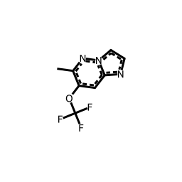 Cc1nn2ccnc2cc1OC(F)(F)F